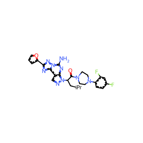 CC(C)CC(C(=O)N1CCN(c2ccc(F)cc2F)CC1)n1ncc2c1nc(N)n1nc(-c3ccco3)nc21